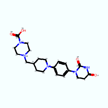 O=C1CCN(c2ccc(N3CCC(CN4CCN(C(=O)O)CC4)CC3)cc2)C(=O)N1